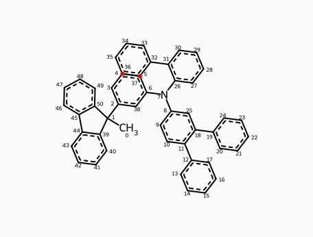 CC1(c2cccc(N(c3ccc(-c4ccccc4)c(-c4ccccc4)c3)c3ccccc3-c3ccccc3)c2)c2ccccc2-c2ccccc21